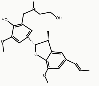 C/C=C/c1cc(OC)c2c(c1)[C@H](C)[C@@H](c1cc(C[N+](C)CCO)c(O)c(OC)c1)O2